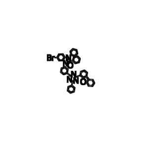 O=P1(c2ccccc2)N(c2ccccc2)c2ccc(Br)cc2N1c1cccc(-c2nc(-c3ccccc3)nc(-c3cccc4c3oc3ccccc34)n2)c1